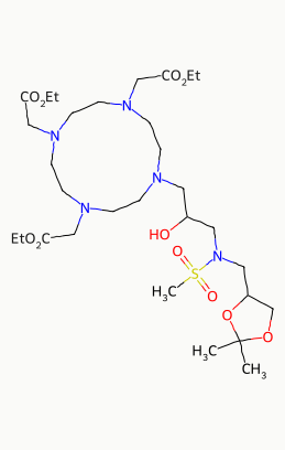 CCOC(=O)CN1CCN(CC(=O)OCC)CCN(CC(O)CN(CC2COC(C)(C)O2)S(C)(=O)=O)CCN(CC(=O)OCC)CC1